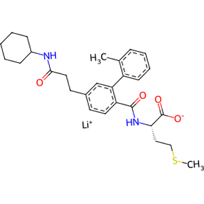 CSCC[C@H](NC(=O)c1ccc(CCC(=O)NC2CCCCC2)cc1-c1ccccc1C)C(=O)[O-].[Li+]